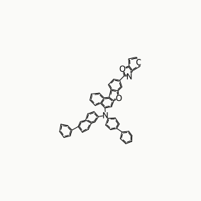 c1ccc(-c2ccc(N(c3ccc4cc(-c5ccccc5)ccc4c3)c3cc4oc5cc(-c6nc7ccccc7o6)ccc5c4c4ccccc34)cc2)cc1